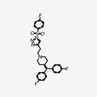 O=S(=O)(c1ccc(F)cc1)n1cc(CCN2CCC(=C(c3ccc(F)cc3)c3ccc(F)cc3)CC2)nn1